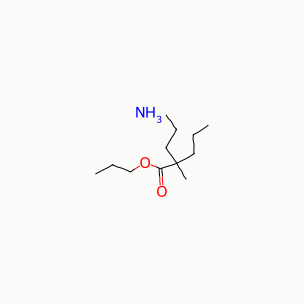 CCCOC(=O)C(C)(CCC)CCC.N